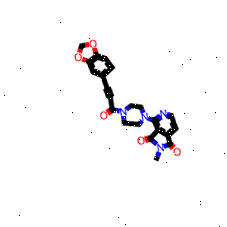 CN1C(=O)c2ccnc(N3CCN(C(=O)C#Cc4ccc5c(c4)OCO5)CC3)c2C1=O